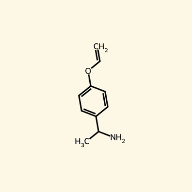 C=COc1ccc(C(C)N)cc1